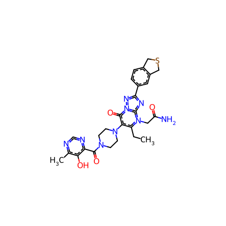 CCc1c(N2CCN(C(=O)c3ncnc(C)c3O)CC2)c(=O)n2nc(-c3ccc4c(c3)CSC4)nc2n1CC(N)=O